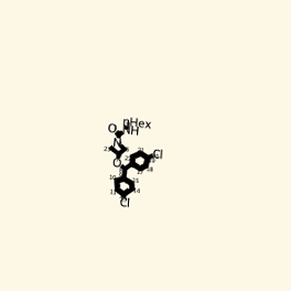 CCCCCCNC(=O)N1CC(OC(c2ccc(Cl)cc2)c2ccc(Cl)cc2)C1